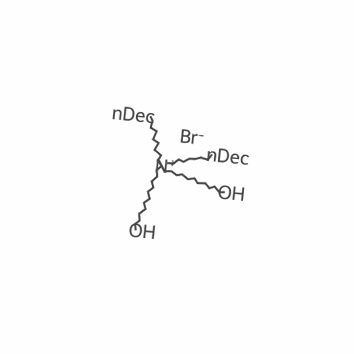 CCCCCCCCCCCCCCCCCC[N+](CCCCCCCCCCCO)(CCCCCCCCCCCO)CCCCCCCCCCCCCCCCCC.[Br-]